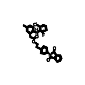 Cc1ccc(Nc2c(F)cccc2Cl)c(CC(=O)OCCc2ccc(N3C(=O)c4ccccc4C3=O)cc2)c1